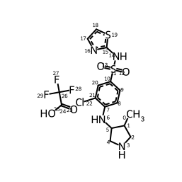 CC1CNCC1Nc1ccc(S(=O)(=O)Nc2nccs2)cc1Cl.O=C(O)C(F)(F)F